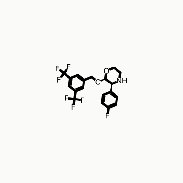 Fc1ccc([C@@H]2NCCO[C@@H]2OCc2cc(C(F)(F)F)cc(C(F)(F)F)c2)cc1